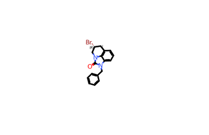 O=c1n(Cc2ccccc2)c2cccc3c2n1C[C@H](Br)[C]3